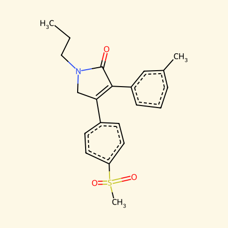 CCCN1CC(c2ccc(S(C)(=O)=O)cc2)=C(c2cccc(C)c2)C1=O